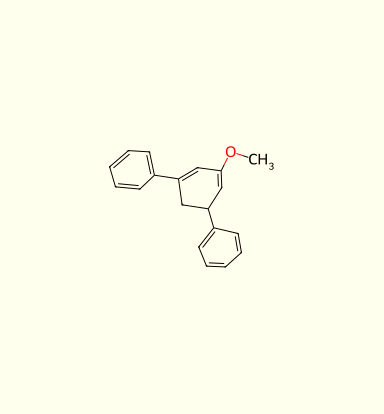 COC1=CC(c2ccccc2)CC(c2ccccc2)=C1